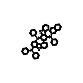 c1ccc(N(c2ccccc2)c2ccc(N(c3ccccc3)c3ccc(N(c4ccccc4)c4ccc5ccccc5c4)c4c3sc3ccccc34)c3c2sc2ccccc23)cc1